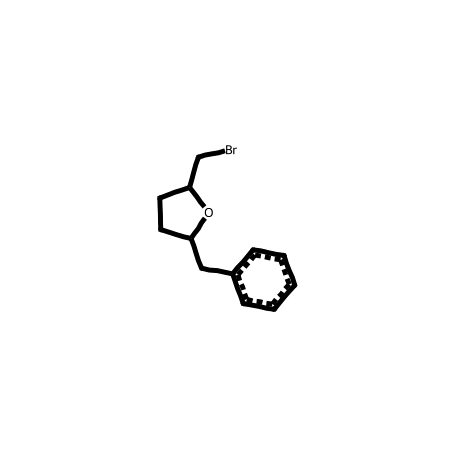 BrCC1CCC(Cc2ccccc2)O1